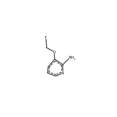 Nc1ncccc1OCF